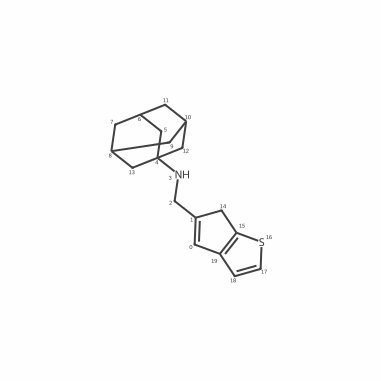 C1=C(CNC23CC4CC(CC(C4)C2)C3)Cc2sccc21